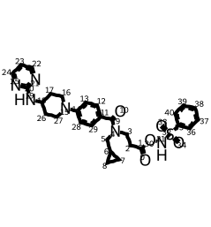 O=C(CCN(CC1CC1)C(=O)c1ccc(N2CCC(Nc3ncccn3)CC2)cc1)ONS(=O)(=O)c1ccccc1